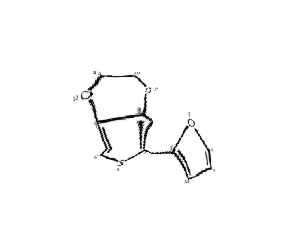 c1coc(-c2scc3c2OCCO3)c1